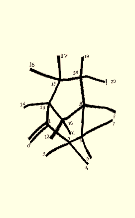 C=C1C(C)(C)C(C)(C)C2(C)C(C)(C)C1(C)C(C)(C)C2(C)I